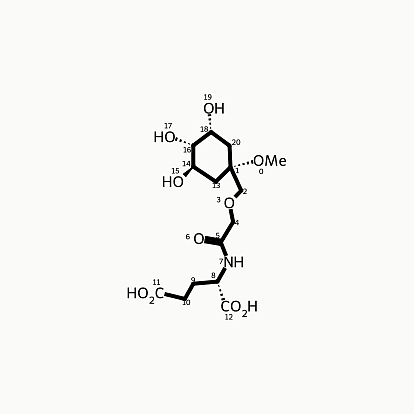 CO[C@]1(COCC(=O)N[C@@H](CCC(=O)O)C(=O)O)C[C@@H](O)[C@H](O)[C@H](O)C1